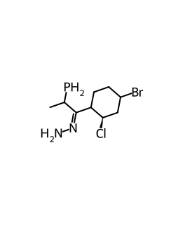 CC(P)/C(=N\N)C1CCC(Br)C[C@H]1Cl